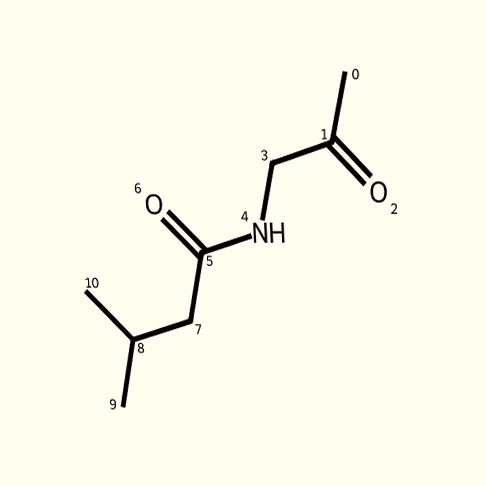 CC(=O)CNC(=O)CC(C)C